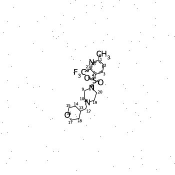 Cc1ccc(S(=O)(=O)N2CCN(CC3CCOCC3)CC2)c(C(F)(F)F)n1